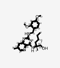 CCCC[C@@](C)(Nc1nc(NCc2ccc(OC)cc2OC)nc2cc(C)cnc12)[C@H](C)O